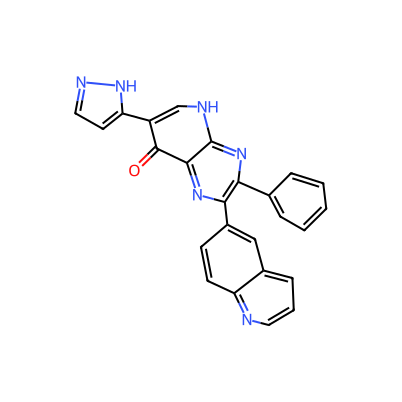 O=c1c(-c2ccn[nH]2)c[nH]c2nc(-c3ccccc3)c(-c3ccc4ncccc4c3)nc12